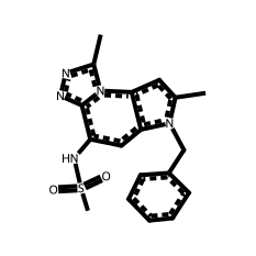 Cc1cc2c(cc(NS(C)(=O)=O)c3nnc(C)n32)n1Cc1ccccc1